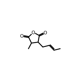 CC=CCC1C(=O)OC(=O)C1C